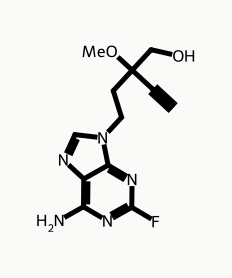 C#CC(CO)(CCn1cnc2c(N)nc(F)nc21)OC